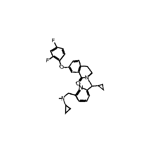 CN(Cc1cccc(C(C2CC2)N2CCc3ccc(Oc4ccc(F)cc4F)cc3C2=O)n1)C1CC1